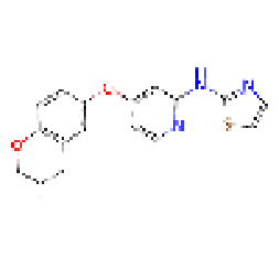 CC1COc2ccc(Oc3ccnc(Nc4nccs4)c3)cc2C1